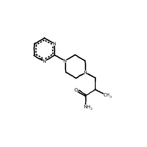 C[C](CN1CCN(c2ncccn2)CC1)C(N)=O